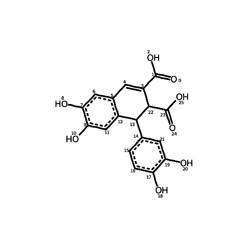 O=C(O)C1=Cc2cc(O)c(O)cc2C(c2ccc(O)c(O)c2)C1C(=O)O